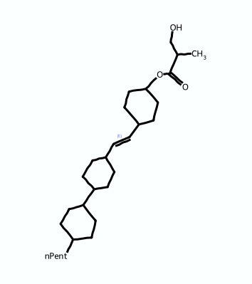 CCCCCC1CCC(C2CCC(/C=C/C3CCC(OC(=O)C(C)CO)CC3)CC2)CC1